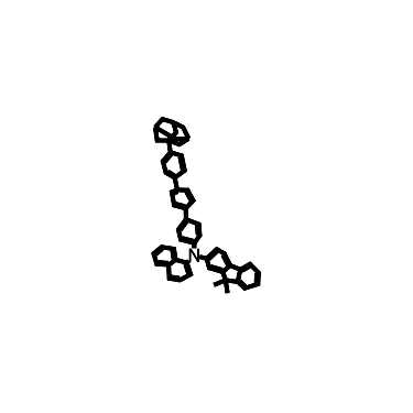 CC1(C)c2ccccc2-c2ccc(N(c3ccc(-c4ccc(-c5ccc(C67CC8CC(CC(C8)C6)C7)cc5)cc4)cc3)c3cccc4ccccc34)cc21